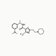 CC(NC(=O)c1sc(CCN2CCCCC2)nc1C(F)(F)F)c1cccc(N(C)C)c1